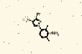 Cc1ccc(-n2cc(N)c(C(C)C)n2)c(C)c1N